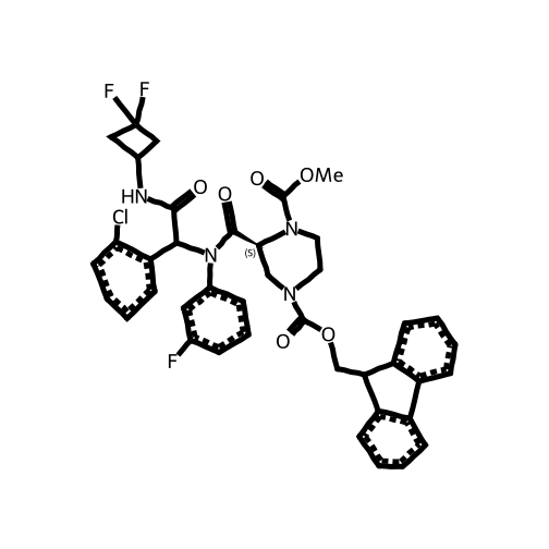 COC(=O)N1CCN(C(=O)OCC2c3ccccc3-c3ccccc32)C[C@H]1C(=O)N(c1cccc(F)c1)C(C(=O)NC1CC(F)(F)C1)c1ccccc1Cl